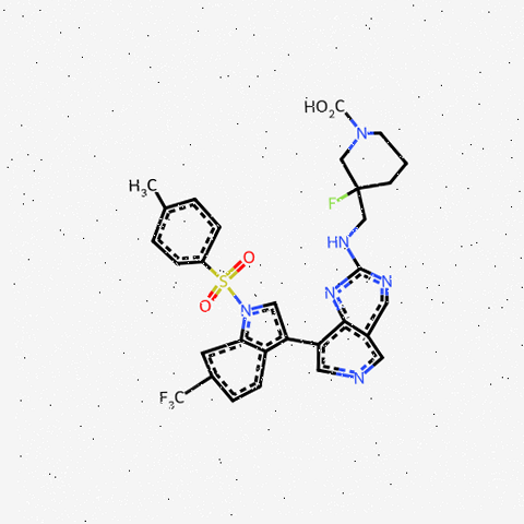 Cc1ccc(S(=O)(=O)n2cc(-c3cncc4cnc(NCC5(F)CCCN(C(=O)O)C5)nc34)c3ccc(C(F)(F)F)cc32)cc1